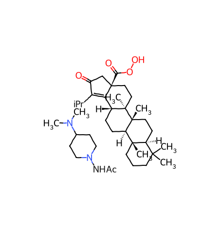 CC(=O)NN1CCC(N(C)C)CC1.CC(C)C1=C2[C@H]3CC[C@@H]4[C@@]5(C)CCCC(C)(C)[C@@H]5CC[C@@]4(C)[C@]3(C)CC[C@@]2(C(=O)OO)CC1=O